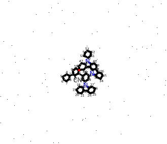 N#Cc1c(-c2ccccc2)cccc1-c1cc(-n2c3ccccc3c3ccccc32)cc(-n2c3ccccc3c3ccc4c(c5ccccc5n4-c4ccccc4)c32)c1